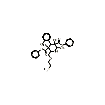 CCC1(C(=O)Oc2ccccc2)C(COCCN)NC(C)C(C)(C(=O)Oc2ccccc2)C1c1ccccc1Cl